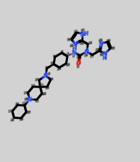 O=C(N[C@H]1CC[C@H](CN2CCC3(CCN(C4CCCCC4)CC3)C2)CC1)N(Cc1ncc[nH]1)Cc1ncc[nH]1